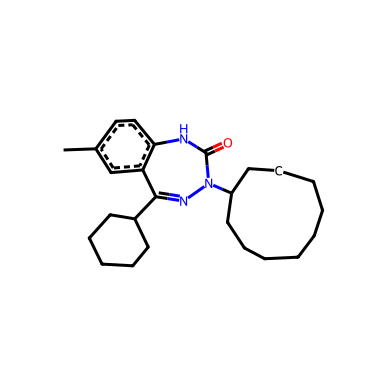 Cc1ccc2c(c1)C(C1CCCCC1)=NN(C1CCCCCCCCC1)C(=O)N2